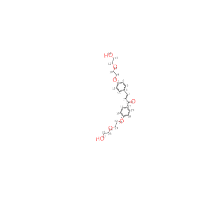 O=C(C=Cc1ccc(OCCOCCO)cc1)c1ccc(OCCOCCO)cc1